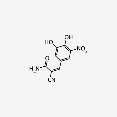 N#CC(=Cc1cc(O)c(O)c([N+](=O)[O-])c1)C(N)=O